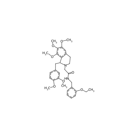 CCOc1ccccc1CNC(=O)CN1CCc2cc(OC)c(OC)c(OC)c2C1Cc1ccc(OC)c(OC)c1